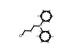 ClCCCP(c1ccccc1)c1ccccc1